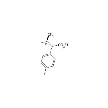 CCOC(=O)C(c1ccc(C)cc1)[C@@H](C)C(F)(F)F